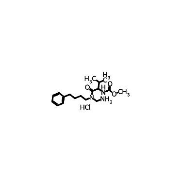 COC(=O)NC(C(=O)N(CN)CCCCc1ccccc1)C(C)C.Cl